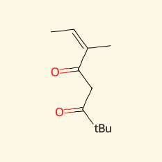 C/C=C(/C)C(=O)CC(=O)C(C)(C)C